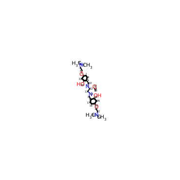 CN(C)CCOc1ccc(C=NCCN=Cc2ccc(OCCN(C)C)cc2O)c(O)c1.[O]=[V]